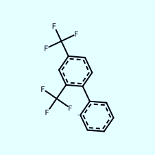 FC(F)(F)c1ccc(-c2[c]cccc2)c(C(F)(F)F)c1